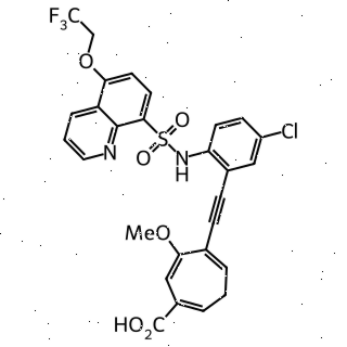 COC1=CC(C(=O)O)=CCC=C1C#Cc1cc(Cl)ccc1NS(=O)(=O)c1ccc(OCC(F)(F)F)c2cccnc12